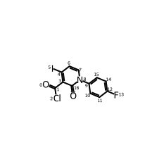 O=C(Cl)c1c(I)ccn(-c2ccc(F)cc2)c1=O